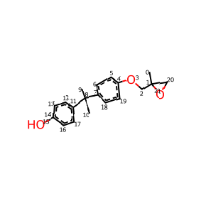 CC1(COc2ccc(C(C)(C)c3ccc(O)cc3)cc2)CO1